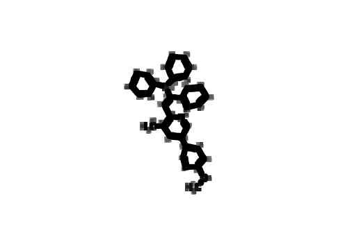 COc1ccc(-c2cnc(C=C(B(c3ccccc3)c3ccccc3)c3ccccc3)c(C)c2)cc1